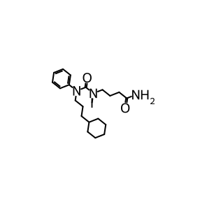 NC(=O)CCCN(I)C(=O)N(CCCC1CCCCC1)c1ccccc1